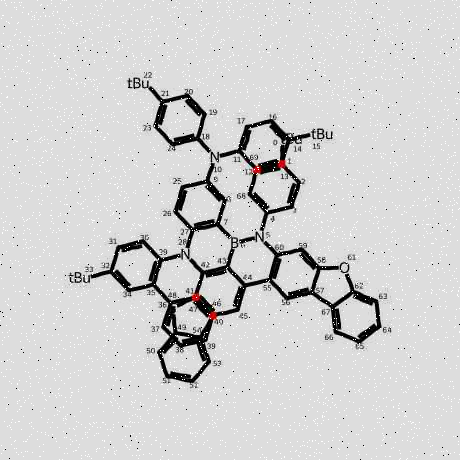 CC(C)(C)c1ccc(N2B3c4cc(N(c5ccc(C(C)(C)C)cc5)c5ccc(C(C)(C)C)cc5)ccc4N(c4ccc(C(C)(C)C)cc4-c4ccccc4)c4c3c(cc3c4sc4ccccc43)-c3cc4c(cc32)oc2ccccc24)cc1